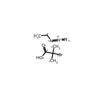 CC(C)(Br)C(=O)O.CCN=[N+]=[N-]